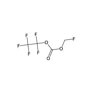 O=C(OCF)OC(F)(F)C(F)(F)F